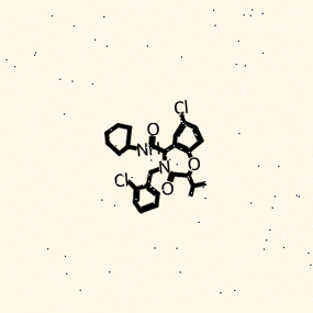 CC(C)C1Oc2ccc(Cl)cc2C(C(=O)NC2CCCCC2)N(Cc2ccccc2Cl)C1=O